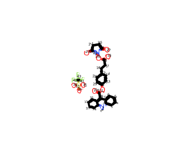 C[n+]1c2ccccc2c(C(=O)Oc2ccc(CCC(=O)ON3C(=O)CCC3=O)cc2)c2ccccc21.O=S(=O)([O-])C(F)(F)F